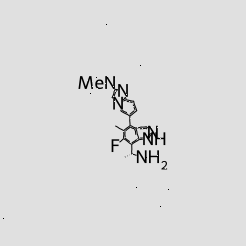 CNc1cn2cc(-c3c(C)c(F)c([C@@H](C)N)c4[nH]ncc34)ccc2n1